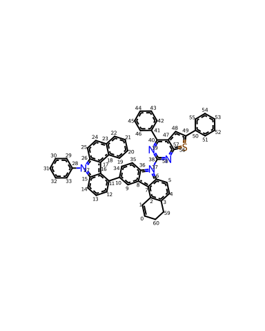 C1=Cc2c(ccc3c2c2cc(-c4cccc5c4c4c6ccccc6ccc4n5-c4ccccc4)ccc2n3-c2nc(-c3ccccc3)c3cc(-c4ccccc4)sc3n2)CC1